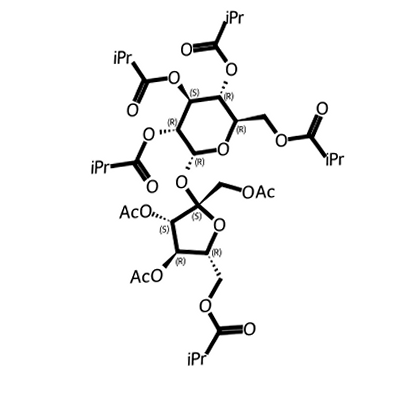 CC(=O)OC[C@@]1(O[C@H]2O[C@H](COC(=O)C(C)C)[C@@H](OC(=O)C(C)C)[C@H](OC(=O)C(C)C)[C@H]2OC(=O)C(C)C)O[C@H](COC(=O)C(C)C)[C@@H](OC(C)=O)[C@@H]1OC(C)=O